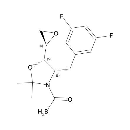 BC(=O)N1[C@@H](Cc2cc(F)cc(F)c2)[C@@H]([C@H]2CO2)OC1(C)C